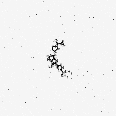 CCn1c(-c2cnc(N(C)C)nc2)nc2c(OC3CCN(C(=O)C4CC4)C3)ncnc21